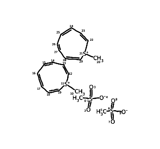 CS(=O)(=O)[O-].CS(=O)(=O)[O-].C[s+]1cccccccc1.C[s+]1cccccccc1